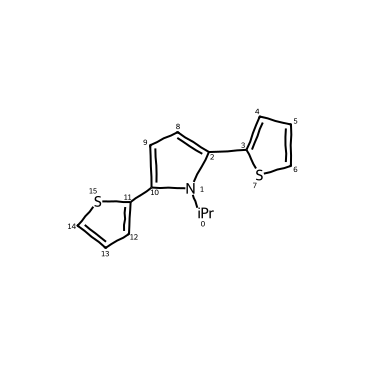 CC(C)n1c(-c2cccs2)ccc1-c1cccs1